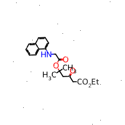 CCOC(=O)CC(=O)CC(C)(C)OC(=O)CNc1cccc2ccccc12